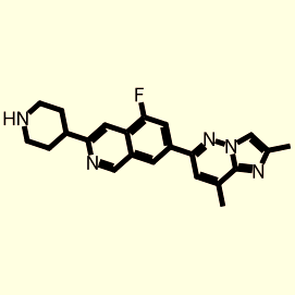 Cc1cn2nc(-c3cc(F)c4cc(C5CCNCC5)ncc4c3)cc(C)c2n1